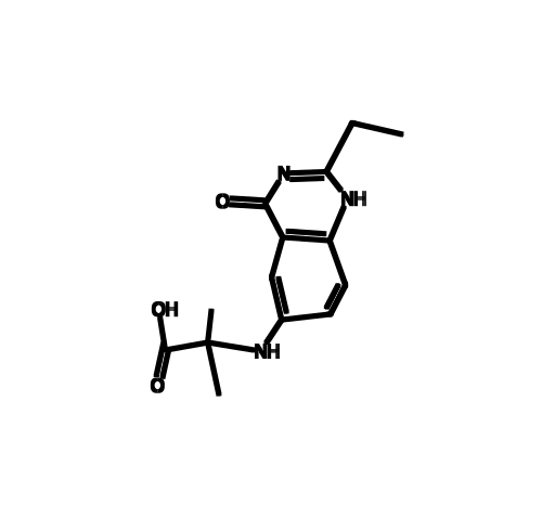 CCc1nc(=O)c2cc(NC(C)(C)C(=O)O)ccc2[nH]1